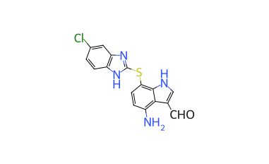 Nc1ccc(Sc2nc3cc(Cl)ccc3[nH]2)c2[nH]cc(C=O)c12